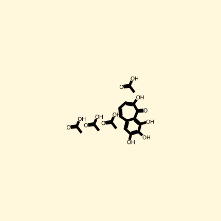 CC(=O)O.CC(=O)O.CC(=O)O.CC(=O)O.O=c1c(O)cccc2cc(O)c(O)c(O)c12